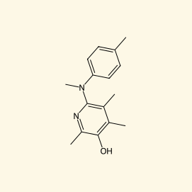 Cc1ccc(N(C)c2nc(C)c(O)c(C)c2C)cc1